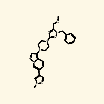 COCc1nc(N2CCN(c3cnn4cc(-c5cnn(C)c5)ccc34)CC2)nn1Cc1ccccc1